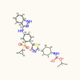 CC(C)OC(=O)N[C@H]1CC[C@H](c2ncc(-c3ccc(Nc4n[nH]c5ccccc45)cc3S(=O)(=O)C3CC3)s2)CC1